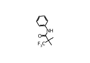 CC(C)(C(=O)Nc1ccccc1)C(F)(F)F